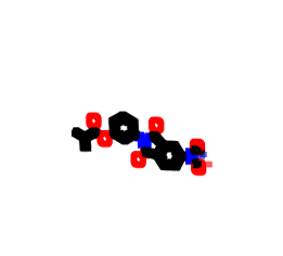 C=C(C)C(=O)Oc1cccc(N2C(=O)c3ccc([N+](=O)[O-])cc3C2=O)c1